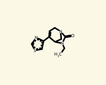 CCN1C(=O)N2CC=C(c3cscn3)C1C2